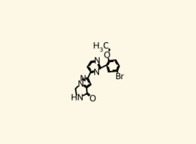 CCOc1ccc(Br)cc1-c1nccc(-c2cc3n(n2)CCNC3=O)n1